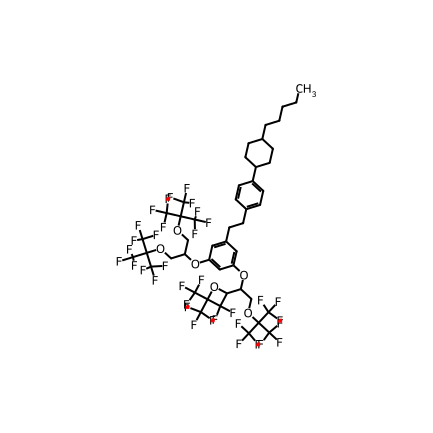 CCCCCC1CCC(c2ccc(CCc3cc(OC(COC(C(F)(F)F)(C(F)(F)F)C(F)(F)F)COC(C(F)(F)F)(C(F)(F)F)C(F)(F)F)cc(OC(COC(C(F)(F)F)(C(F)(F)F)C(F)(F)F)C4OC(C(F)(F)F)(C(F)(F)F)C4(F)F)c3)cc2)CC1